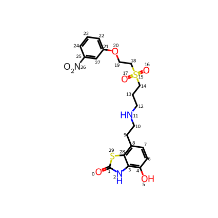 O=c1[nH]c2c(O)ccc(CCNCCCS(=O)(=O)CCOc3cccc([N+](=O)[O-])c3)c2s1